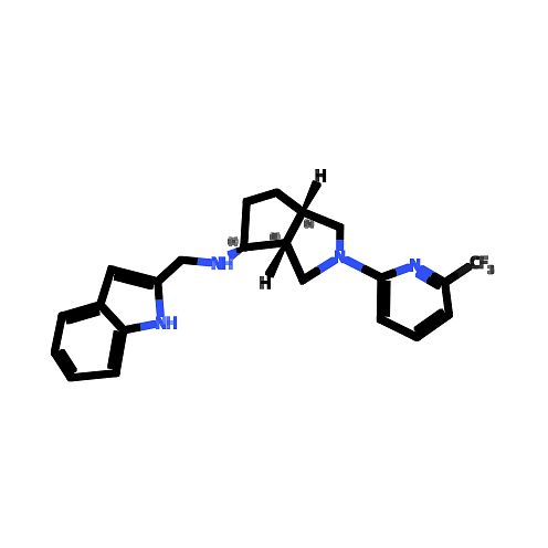 FC(F)(F)c1cccc(N2C[C@H]3CC[C@H](NCc4cc5ccccc5[nH]4)[C@H]3C2)n1